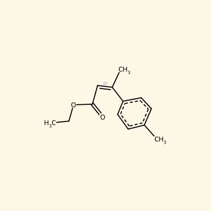 CCOC(=O)/C=C(/C)c1ccc(C)cc1